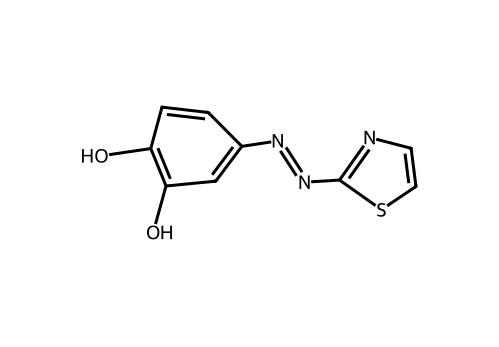 Oc1ccc(N=Nc2nccs2)cc1O